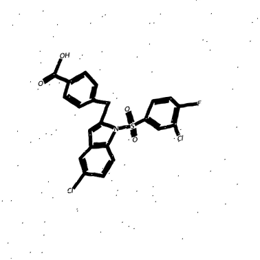 O=C(O)c1ccc(Cc2cc3cc(Cl)ccc3n2S(=O)(=O)c2ccc(F)c(Cl)c2)cc1